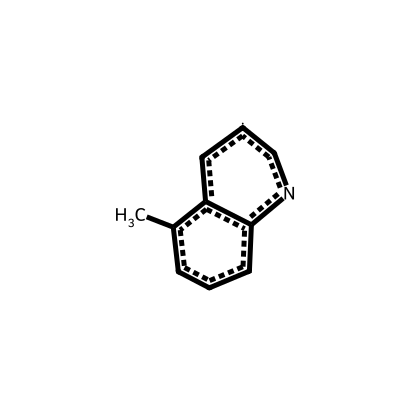 Cc1cccc2nc[c]cc12